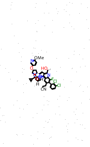 COc1ccc(O[C@H]2C[C@H](c3cc4c([C@@H](C)O)nc5c(F)c(-c6cccc(Cl)c6Cl)c(CCC#N)cc5c4n3[C@H]3[C@H]4CN[C@@H]3C4)N(C(=O)C3CC3)C2)cn1